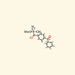 COC(C)(C)C(=O)c1ccc(C(=O)c2ccccc2)cc1